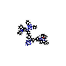 c1ccc(-c2nc(-c3ccccc3)nc(-n3c4ccc(-c5ccc6c(c5)c5cc(-c7ccc8c(c7)c7ccc9c%10ccccc%10n(-c%10ccccc%10)c9c7n8-c7ccccc7)ccc5n6-c5ncncn5)cc4c4cc5c(cc43)c3ccccc3n5-c3ccccc3)n2)cc1